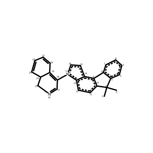 CC1(C)c2ccccc2-c2c1ccc1c2ccn1C1=C2C=CC=CC2CN=C1